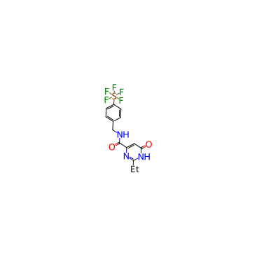 CCc1nc(C(=O)NCc2ccc(S(F)(F)(F)(F)F)cc2)cc(=O)[nH]1